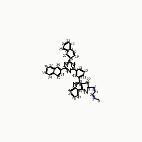 C/C=C\C=C/C1=Nc2c(c(-c3cccc(-c4nc(-c5ccc6ccccc6c5)nc(-c5ccc6ccccc6c5)n4)c3)nc3ccccc23)[C@@H]1C